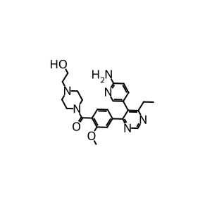 CCc1ncnc(-c2ccc(C(=O)N3CCN(CCO)CC3)c(OC)c2)c1-c1ccc(N)nc1